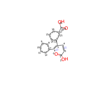 O=C(O)/C=C\C(=C\c1ccccc1)c1cccc(C(=O)O)c1